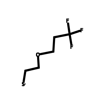 FC(F)(F)CCOCC[S]